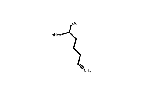 C=CCCCC(CCCC)CCCCCC